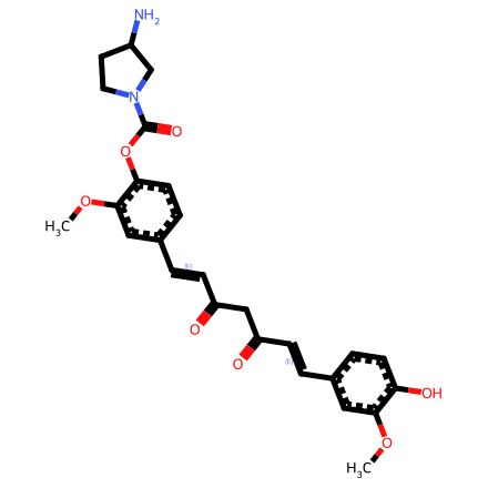 COc1cc(/C=C/C(=O)CC(=O)/C=C/c2ccc(OC(=O)N3CCC(N)C3)c(OC)c2)ccc1O